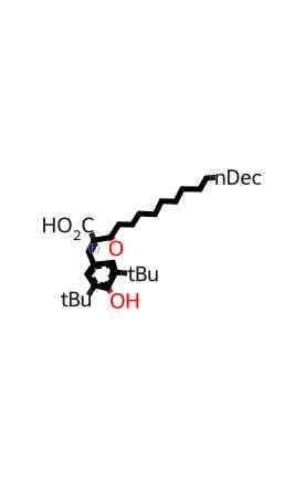 CCCCCCCCCCCCCCCCCCCC(=O)/C(=C\c1cc(C(C)(C)C)c(O)c(C(C)(C)C)c1)C(=O)O